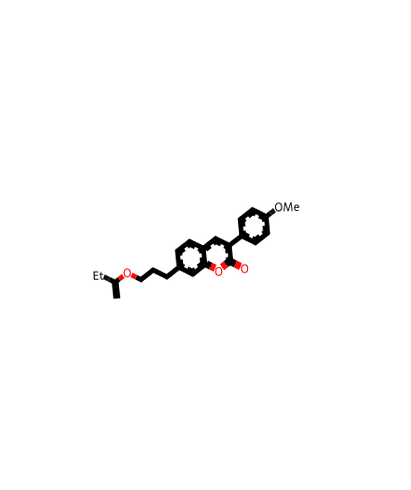 C=C(CC)OCCCc1ccc2cc(-c3ccc(OC)cc3)c(=O)oc2c1